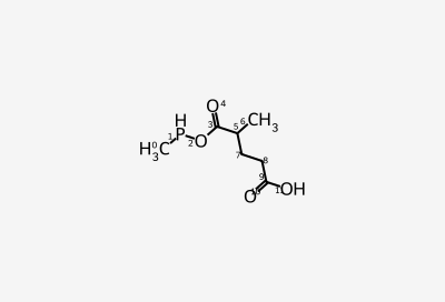 CPOC(=O)C(C)CCC(=O)O